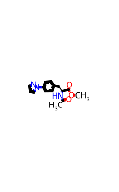 COC(=O)[C@H](Cc1ccc(-n2cccn2)cc1)NC(C)=O